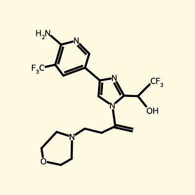 C=C(CCN1CCOCC1)n1cc(-c2cnc(N)c(C(F)(F)F)c2)nc1C(O)C(F)(F)F